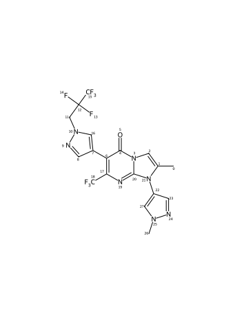 Cc1cn2c(=O)c(-c3cnn(CC(F)(F)C(F)(F)F)c3)c(C(F)(F)F)nc2n1-c1cnn(C)c1